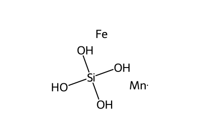 O[Si](O)(O)O.[Fe].[Mn]